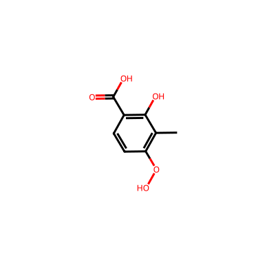 Cc1c(OO)ccc(C(=O)O)c1O